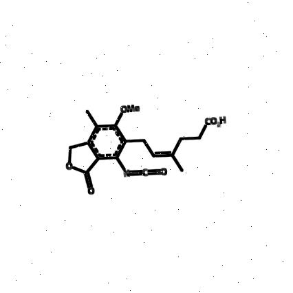 COc1c(C)c2c(c(N=C=O)c1CC=C(C)CCC(=O)O)C(=O)OC2